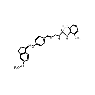 Cc1cccc(C)c1NC(=O)NS/N=C/c1ccc(O/N=C2/CCc3cc(OC(F)(F)F)ccc32)cc1